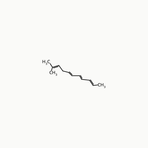 C/C=C/C=C/C=C/CC=C(C)C